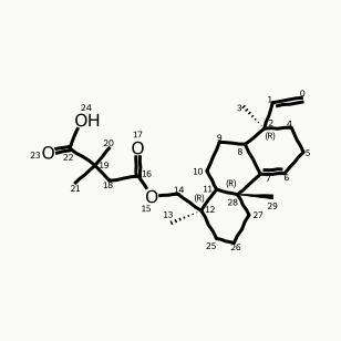 C=C[C@@]1(C)CCC=C2C1CCC1[C@](C)(COC(=O)CC(C)(C)C(=O)O)CCC[C@@]21C